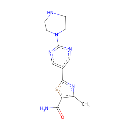 Cc1nc(-c2cnc(N3CCNCC3)nc2)sc1C(N)=O